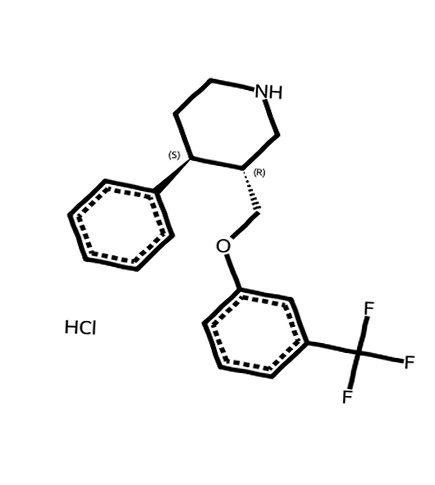 Cl.FC(F)(F)c1cccc(OC[C@H]2CNCC[C@@H]2c2ccccc2)c1